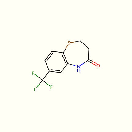 O=C1CCSc2ccc(C(F)(F)F)cc2N1